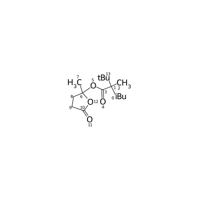 CCC(C)C(C)(C(=O)OC1(C)CCC(=O)O1)C(C)(C)C